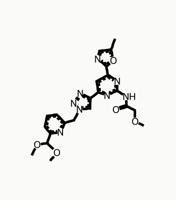 COCC(=O)Nc1nc(-c2cn(Cc3cccc(C(OC)OC)n3)nn2)cc(-c2ncc(C)o2)n1